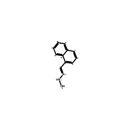 ONN=Cc1cccc2ccccc12